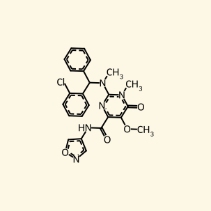 COc1c(C(=O)Nc2cnoc2)nc(N(C)C(c2ccccc2)c2ccccc2Cl)n(C)c1=O